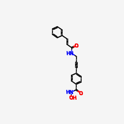 O=C(/C=C/c1ccccc1)NCC#Cc1ccc(C(=O)NO)cc1